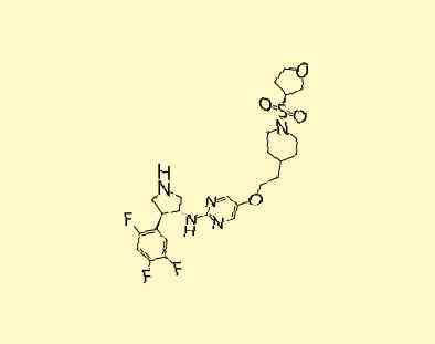 O=S(=O)([C@H]1CCOC1)N1CCC(CCOc2cnc(N[C@H]3CNC[C@@H]3c3cc(F)c(F)cc3F)nc2)CC1